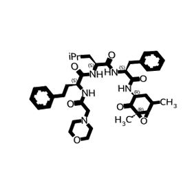 CC(C)C[C@H](NC(=O)[C@H](CCc1ccccc1)NC(=O)CN1CCOCC1)C(=O)N[C@@H](Cc1ccccc1)C(=O)N[C@@H]1CC(C)C2O[C@@]2(C)C1=O